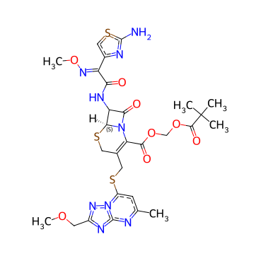 COCc1nc2nc(C)cc(SCC3=C(C(=O)OCOC(=O)C(C)(C)C)N4C(=O)C(NC(=O)C(=NOC)c5csc(N)n5)[C@@H]4SC3)n2n1